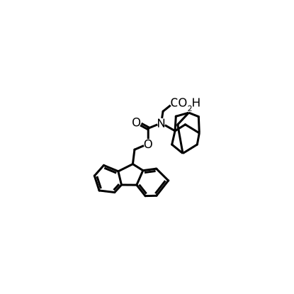 O=C(O)CN(C(=O)OCC1c2ccccc2-c2ccccc21)C12CC3CC(CC(C3)C1)C2